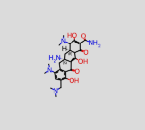 CN(C)Cc1cc(N(C)C)c2c(c1O)C(=O)C1=C(O)C3C(=O)C(C(N)=O)=C(O)C(N(C)C)[C@@H]3C[C@]1(N)C2